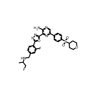 CC(CF)NCc1ccc(-c2nnc(-c3nc(-c4ccc(S(=O)(=O)C5CCOCC5)cc4)cnc3N)o2)c(F)c1